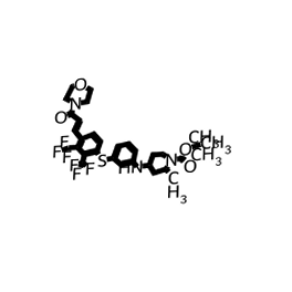 CC1CC(Nc2cccc(Sc3ccc(C=CC(=O)N4CCOCC4)c(C(F)(F)F)c3C(F)(F)F)c2)CCN1C(=O)OC(C)(C)C